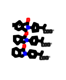 CC(C(=O)[O-])c1ccc(N2CC3=C(CC=CC3)C2=O)cc1.CC(C(=O)[O-])c1ccc(N2CC3=C(CC=CC3)C2=O)cc1.CC(C(=O)[O-])c1ccc(N2CC3=C(CC=CC3)C2=O)cc1.[Bi+3]